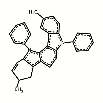 Cc1ccc2c(c1)c1c3c(ccc1n2-c1ccccc1)c1c(n3-c2ccccc2)C=CC(C)C1